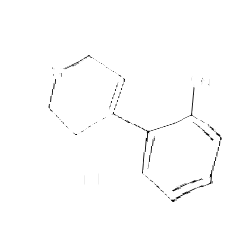 Cl.N#Cc1ccccc1C1=CCNCC1